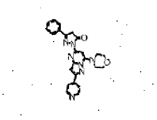 O=C1CC(c2ccccc2)=NN1c1cc(N2CCOCC2)n2nc(-c3ccncc3)cc2n1